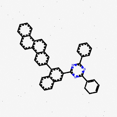 C1=CCCC(c2nc(-c3ccccc3)nc(-c3cc(-c4ccc5c(ccc6c7ccccc7ccc56)c4)c4ccccc4c3)n2)=C1